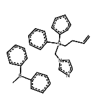 C=CCC[Si](Cn1ccnc1)(c1ccccc1)c1ccccc1.CB(c1ccccc1)c1ccccc1